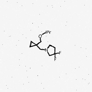 CC(C)OCC1(CN2CCC(F)(F)C2)CC1